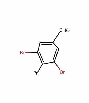 CC(C)c1c(Br)cc(C=O)cc1Br